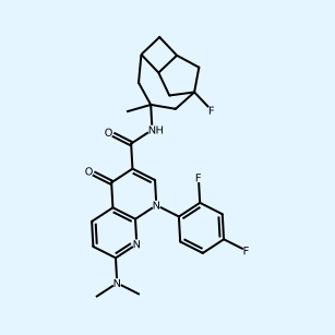 CN(C)c1ccc2c(=O)c(C(=O)NC3(C)CC4CC5CC(F)(CC54)C3)cn(-c3ccc(F)cc3F)c2n1